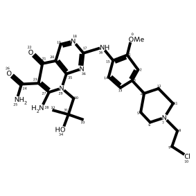 COc1cc(C2CCN(CCCl)CC2)ccc1Nc1ncc2c(=O)c(C(N)=O)c(N)n(CC(C)(C)O)c2n1